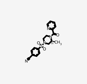 C[C@H]1CN(S(=O)(=O)c2ccc(C#N)cc2)CCN1C(=O)c1ccccn1